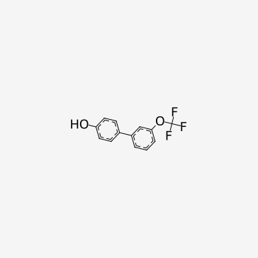 Oc1ccc(-c2cccc(OC(F)(F)F)c2)cc1